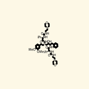 COc1ccc(CCN(CC(O)C(Cc2ccccc2)NC(=O)[C@@H](NC(=O)NCCN2CCOCC2)C(C)C)NC(=O)[C@@H](NC(=O)NCCN2CCOCC2)C(C)C)cc1OC